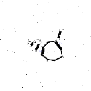 C1=C\CCC/C=C\C/1.[C]=O.[C]=O.[C]=O.[Ru]